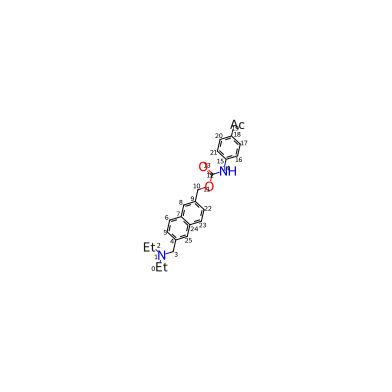 CCN(CC)Cc1ccc2cc(COC(=O)Nc3ccc(C(C)=O)cc3)ccc2c1